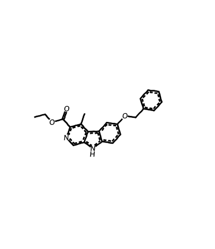 CCOC(=O)c1ncc2[nH]c3ccc(OCc4ccccc4)cc3c2c1C